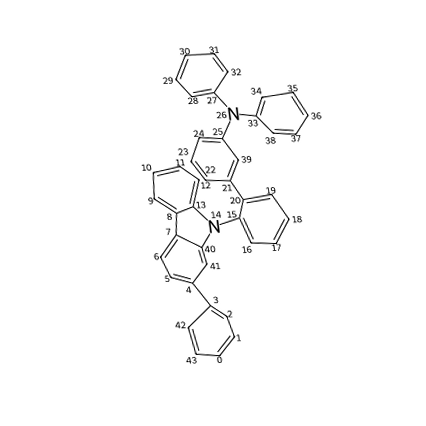 c1ccc(-c2ccc3c4ccccc4n(-c4ccccc4-c4cccc(N(c5ccccc5)c5ccccc5)c4)c3c2)cc1